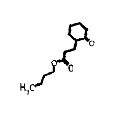 CCCCOC(=O)CCC1CCCCC1=O